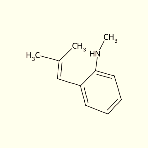 CNc1ccccc1C=C(C)C